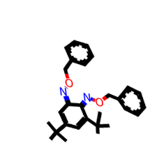 CC(C)(C)C1=CC(=NOCc2ccccc2)C(=NOCc2ccccc2)C(C(C)(C)C)=C1